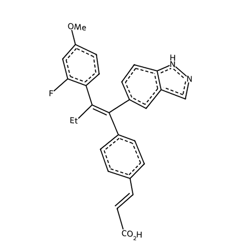 CCC(=C(c1ccc(C=CC(=O)O)cc1)c1ccc2[nH]ncc2c1)c1ccc(OC)cc1F